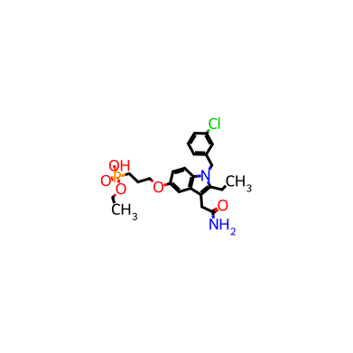 CCOP(=O)(O)CCCOc1ccc2c(c1)c(CC(N)=O)c(CC)n2Cc1cccc(Cl)c1